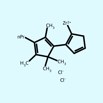 CCCC1=C(C)C(C)(C)C(C2=[C]([Zr+2])CC=C2)=C1C.[Cl-].[Cl-]